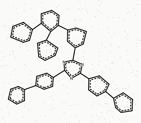 c1ccc(-c2ccc(-c3nc(-c4ccc(-c5ccccc5)cc4)nc(-c4cccc(-c5cccc(-c6ccccc6)c5-c5ccccc5)c4)n3)cc2)cc1